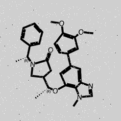 COc1ccc(-c2cc(O[C@H](C)C3CC(=O)N([C@H](C)c4ccccc4)C3)c3c(c2)ncn3C)cc1OC